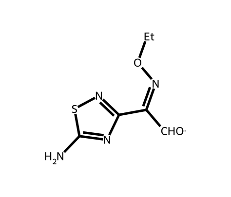 CCO/N=C(/[C]=O)c1nsc(N)n1